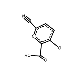 N#Cc1ccc(Cl)c(C(=O)O)n1